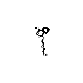 O=C(O)c1ccccc1C(=O)OCCOCCO